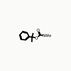 CNC(=O)OC(C)(C)c1ccccc1